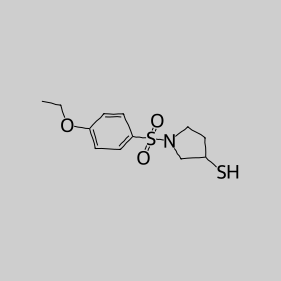 CCOc1ccc(S(=O)(=O)N2CCC(S)C2)cc1